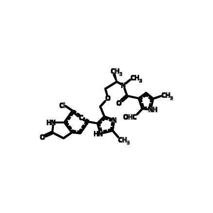 Cc1cc(C(=O)N(C)[C@H](C)COCc2nc(C)[nH]c2-c2cc(Cl)c3c(c2)CC(=O)N3)c(C=O)[nH]1